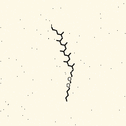 CCCCCOCOCCCC(C)CC(C)CC(C)CC(C)CC(C)CC(C)CC(C)CCCI